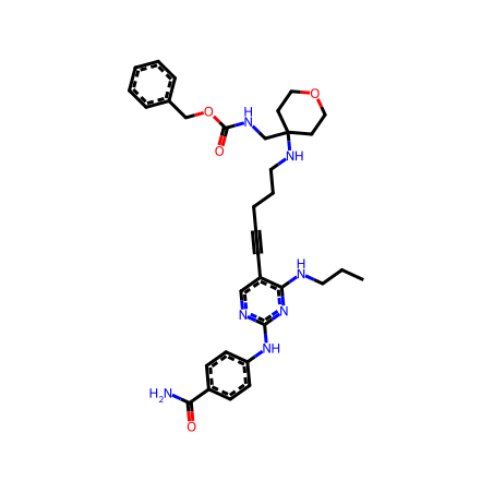 CCCNc1nc(Nc2ccc(C(N)=O)cc2)ncc1C#CCCCNC1(CNC(=O)OCc2ccccc2)CCOCC1